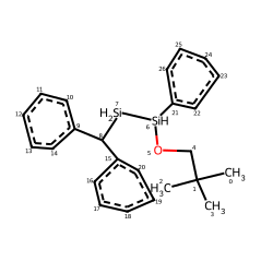 CC(C)(C)CO[SiH]([SiH2]C(c1ccccc1)c1ccccc1)c1ccccc1